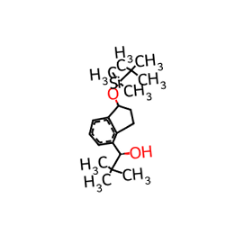 CC(C)(C)[C@H](O)c1cccc2c1CCC2O[Si](C)(C)C(C)(C)C